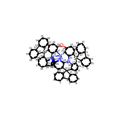 c1ccc2c(c1)-c1ccccc1C21c2cccc3c2N2c4c(ccc5c4[N+]4(c6c(ccc7c6-n6c8c(cccc8c8ccc[n+]4c86)[Si]74c6ccccc6-c6ccccc64)O5)[n+]4cccc1c42)[Si]31c2ccccc2-c2ccccc21